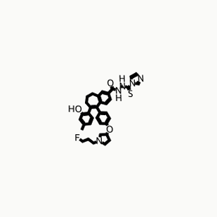 Cc1ccc(C2=C(c3ccc(OC4CCN(CCCF)C4)cc3)c3ccc(C(=O)NNC(=S)n4ccnc4)cc3CCC2)c(O)c1